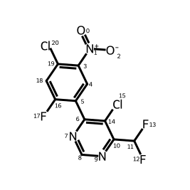 O=[N+]([O-])c1cc(-c2ncnc(C(F)F)c2Cl)c(F)cc1Cl